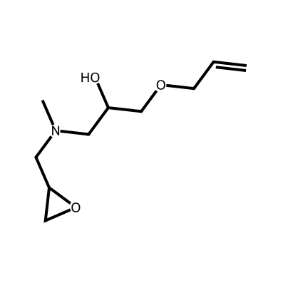 C=CCOCC(O)CN(C)CC1CO1